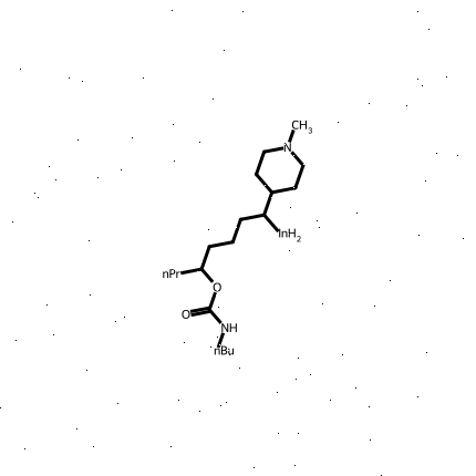 CCCCNC(=O)OC(CCC)CCC[CH]([InH2])C1CCN(C)CC1